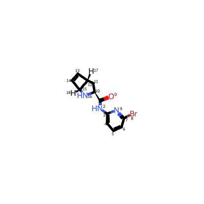 O=C(Nc1cccc(Br)n1)[C@@H]1C[C@H]2C=C[C@H]2N1